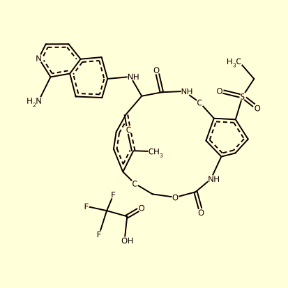 CCS(=O)(=O)c1ccc2cc1CNC(=O)C(Nc1ccc3c(N)nccc3c1)c1ccc(c(C)c1)CCOC(=O)N2.O=C(O)C(F)(F)F